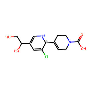 O=C(O)N1CC=C([C@@H]2NC=C(C(O)CO)C=C2Cl)CC1